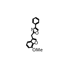 COc1cccc2c(Cc3nc(-c4ccccc4)co3)coc12